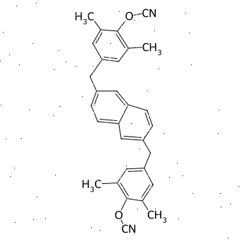 Cc1cc(Cc2ccc3cc(Cc4cc(C)c(OC#N)c(C)c4)ccc3c2)cc(C)c1OC#N